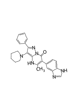 Cc1[nH]c2c(N3CCCCC3)c(-c3ccccc3)nn2c(=O)c1-c1ccc2[nH]cnc2c1